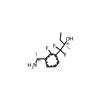 CC[C@@](C)(O)C(F)(F)c1cccc([C@@H](C)N)c1F